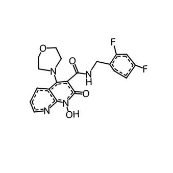 O=C(NCc1ccc(F)cc1F)c1c(N2CCOCC2)c2cccnc2n(O)c1=O